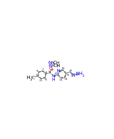 C#N.C#N.Cc1ccc(C(=O)Nc2ccc(C=NN)cn2)cc1